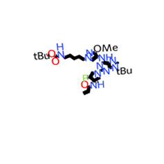 C=CC(=O)N[C@@H]1CN(c2nc(Nc3cn(CCCCCNC(=O)OC(C)(C)C)nc3OC)c3ncn(C(C)(C)C)c3n2)C[C@H]1F